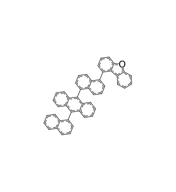 c1ccc2c(-c3c4ccccc4c(-c4cccc5c(-c6cccc7oc8ccccc8c67)cccc45)c4ccccc34)cccc2c1